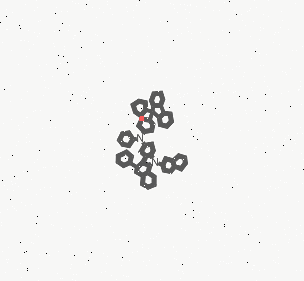 c1ccc(-c2cc3ccccc3c3c2c2cc(N(c4ccccc4)c4ccc(C5(c6ccccc6)c6ccccc6-c6ccccc65)cc4)ccc2n3-c2ccc3ccccc3c2)cc1